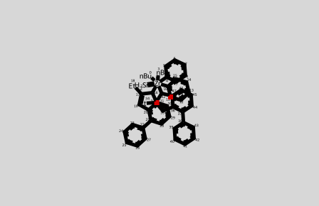 CCC[CH2][Zr](=[SiH2])([CH2]CCC)([c]1ccccc1)([c]1ccccc1)([CH]1C(CC)=Cc2c(-c3ccccc3)cccc21)[CH]1C(CC)=Cc2c(-c3ccccc3)cccc21